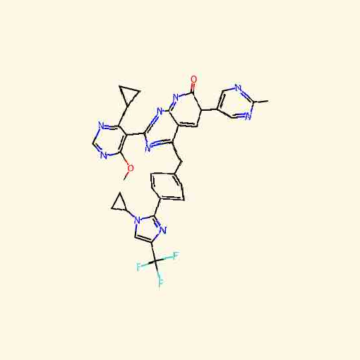 COc1ncnc(C2CC2)c1-c1nc(Cc2ccc(-c3nc(C(F)(F)F)cn3C3CC3)cc2)c2c(n1)=NC(=O)C(c1cnc(C)nc1)C=2